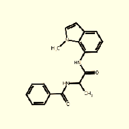 CC(NC(=O)c1ccccc1)C(=O)Nc1cccc2ccn(C)c12